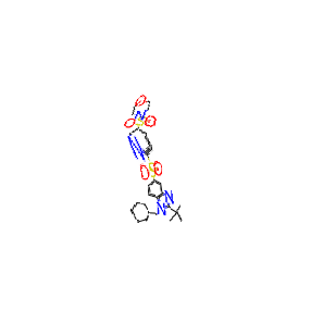 CC(C)(C)c1nc2cc(S(=O)(=O)c3ccc(S(=O)(=O)N4CCOCC4)cn3)ccc2n1CC1CCCCC1